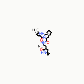 Cc1ccc(C(=O)N2C[Si]3(CCCC3)CC2C(=O)NC(C#N)CC2CC3(CC3)NC2=O)[nH]1